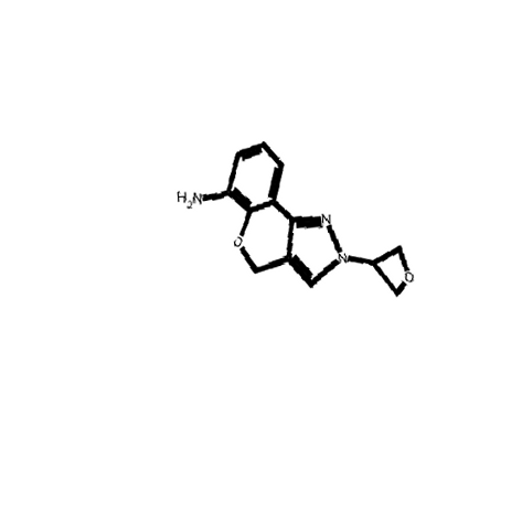 Nc1cccc2c1OCc1cn(C3COC3)nc1-2